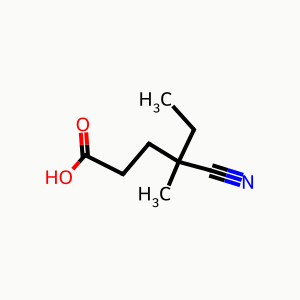 CCC(C)(C#N)CCC(=O)O